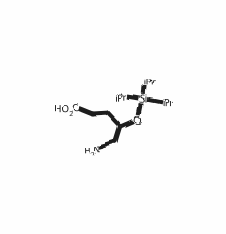 CC(C)[Si](OC(CN)CCC(=O)O)(C(C)C)C(C)C